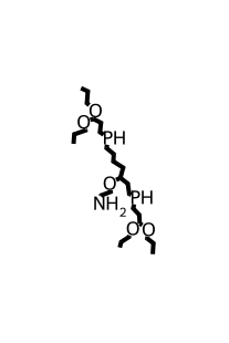 CCCOC(CCPCCCCC(CCPCCC(OCCC)OCCC)OCCN)OCCC